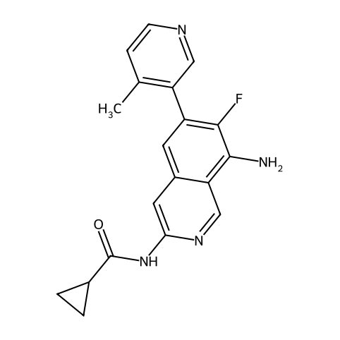 Cc1ccncc1-c1cc2cc(NC(=O)C3CC3)ncc2c(N)c1F